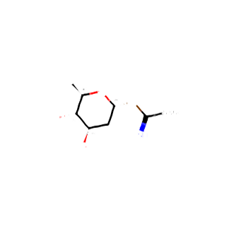 CC[C@H]1O[C@H](SC(=N)NC)C[C@@H](O)[C@@H]1O